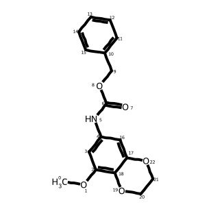 COc1cc(NC(=O)OCc2ccccc2)cc2c1OCCO2